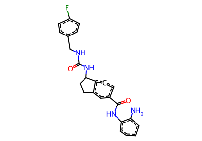 Nc1ccccc1NC(=O)c1ccc2c(c1)CCC2NC(=O)NCc1ccc(F)cc1